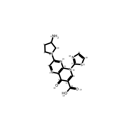 NC1CCN(c2cnc3c(=O)c(C(=O)O)cn(-c4nccs4)c3n2)C1